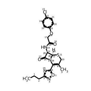 CCCc1noc(C2=C(C)CS[C@@H]3[C@H](NC(=O)COc4ccc(Cl)cc4)C(=O)N23)n1